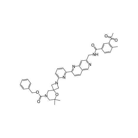 Cc1ccc(C(=O)NCc2cc3nc(-c4cccc(N5CC6(CN(C(=O)OCc7ccccc7)CC(C)(C)O6)C5)n4)ccc3cn2)cc1S(C)(=O)=O